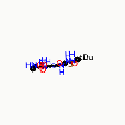 CC(C)(C)c1ccc(C(=O)NC(=S)Nc2ccc(NC(=O)CCCCCCCNC(=O)C(Cc3c[nH]c4ccccc34)OC(N)=O)cc2)cc1